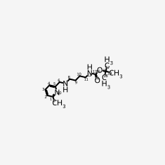 Cc1cccc(CNCCCCNC(=O)OC(C)(C)C)n1